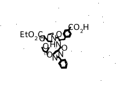 CCOC(=O)ON1CCN(C(=O)C(Cc2ccc(C(=O)O)cc2)NC(=O)c2cc(O[C@H]3CCOC3)nc(-c3ccccc3)n2)CC1